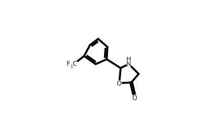 O=C1CNC(c2cccc(C(F)(F)F)c2)O1